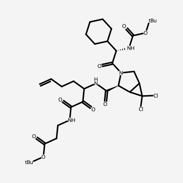 C=CCCC(NC(=O)[C@@H]1C2C(CN1C(=O)[C@@H](NC(=O)OC(C)(C)C)C1CCCCC1)C2(Cl)Cl)C(=O)C(=O)NCCC(=O)OC(C)(C)C